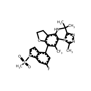 Cc1nnc2n1-c1c(c3c(c(-c4cc(F)cc5c4ccn5S(C)(=O)=O)c1C(F)(F)F)OCC3)NC2(C)C